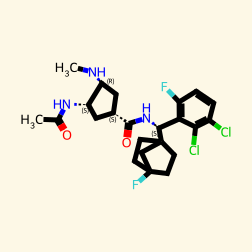 CN[C@@H]1C[C@H](C(=O)N[C@H](c2c(F)ccc(Cl)c2Cl)C23CCC(F)(CC2)C3)C[C@@H]1NC(C)=O